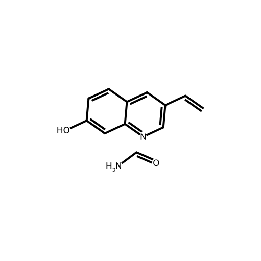 C=Cc1cnc2cc(O)ccc2c1.NC=O